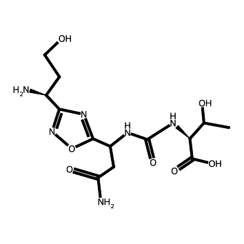 CC(O)[C@H](NC(=O)NC(CC(N)=O)c1nc([C@@H](N)CCO)no1)C(=O)O